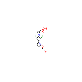 COCCCOc1cccc(-c2cc(F)c(N3CCC(CC(=O)O)C3)c(F)c2)n1